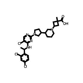 CC(Nc1nc(N2CCC(C3CCCN(C4CC(C)(C(=O)O)C4)C3)C2)ncc1Cl)c1ccc(Cl)cc1Cl